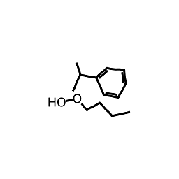 CC(C)c1ccccc1.CCCCOO